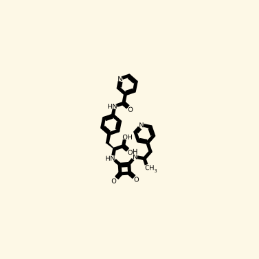 CC(Cc1ccncc1)Nc1c(N[C@@H](Cc2ccc(NC(=O)c3cccnc3)cc2)C(=O)O)c(=O)c1=O